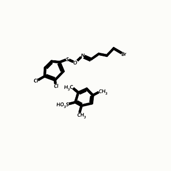 Cc1cc(C)c(S(=O)(=O)O)c(C)c1.Clc1ccc(SON=CCCCBr)cc1Cl